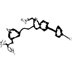 Cc1ccc(-c2ccc3nc(N)c(CCc4cncc(CC(C)C)c4)cc3c2)cc1